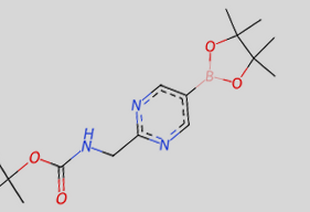 CC(C)(C)OC(=O)NCc1ncc(B2OC(C)(C)C(C)(C)O2)cn1